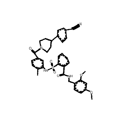 COc1ccc(CNC(=O)c2ccccc2S(=O)(=O)Nc2cc(C(=O)N3CCC(c4ccc(C#N)cc4)CC3)ccc2C)c(OC)c1